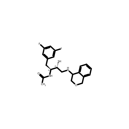 CC(=O)N[C@@H](Cc1cc(F)cc(F)c1)[C@H](S)CNC1COCc2ccccc21